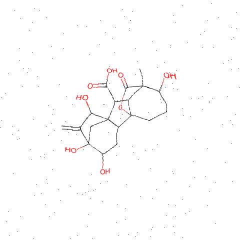 C=C1C(O)C23CC1(O)C(O)CC2C12CCC(O)C(C)(C(=O)O1)C2C3C(=O)O